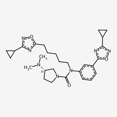 CN(C)[C@H]1CCN(C(=O)N(CCCCCc2nc(C3CC3)no2)c2cccc(-c3nc(C4CC4)no3)c2)C1